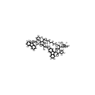 CN[C@@H](C)C(=O)N[C@H](C(=O)N1CCC[C@H]1C(=O)NC1c2ccccc2-c2ccccc21)[C@@H](C)OCCCCCCO[C@H](C)[C@H](NC(=O)[C@H](C)NC)C(=O)N1CCC[C@H]1C(=O)NC1c2ccccc2-c2ccccc21